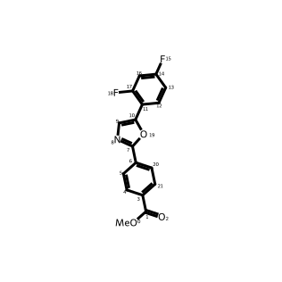 COC(=O)c1ccc(-c2ncc(-c3ccc(F)cc3F)o2)cc1